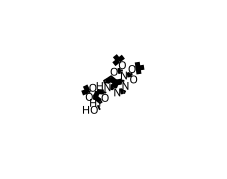 CC(C)(C)OC(=O)N(C(=O)OC(C)(C)C)c1ncnc2c1ccn2C1O[C@H](CO)[C@H]2OC(C)(C)O[C@@H]12